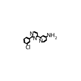 Nc1ccnc(-c2ccnc(-c3cccc(Cl)c3)n2)c1